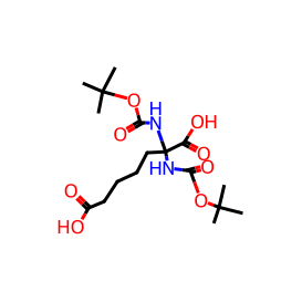 CC(C)(C)OC(=O)NC(CCCCC(=O)O)(NC(=O)OC(C)(C)C)C(=O)O